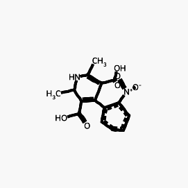 CC1=C(C(=O)O)C(c2ccccc2[N+](=O)[O-])=C(C(=O)O)C(C)N1